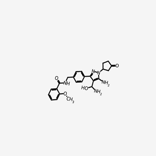 COc1ccccc1C(=O)NCc1ccc(-c2nn(C3CCC(=O)C3)c(N)c2C(N)O)cc1